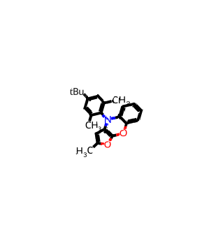 Cc1cc2c(o1)Oc1ccccc1N2c1c(C)cc(C(C)(C)C)cc1C